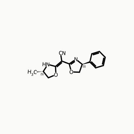 C[C@H]1COC(=C(C#N)C2=N[C@@H](c3ccccc3)CO2)N1